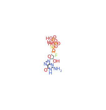 Nc1nc2c(ncn2[C@@H]2O[C@H](CO[PH](=S)OP(=O)(O)OP(=O)(O)O)[C@H](F)[C@@H]2O)c(=O)[nH]1